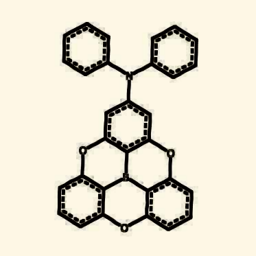 c1ccc(N(c2ccccc2)c2cc3c4c(c2)Oc2cccc5c2B4c2c(cccc2O3)O5)cc1